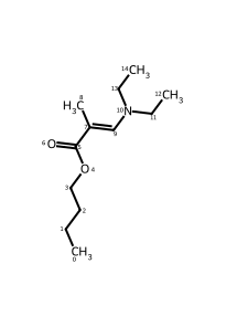 CCCCOC(=O)C(C)=CN(CC)CC